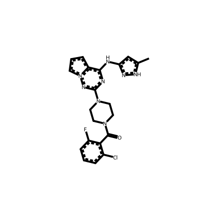 Cc1cc(Nc2nc(N3CCN(C(=O)c4c(F)cccc4Cl)CC3)nn3cccc23)n[nH]1